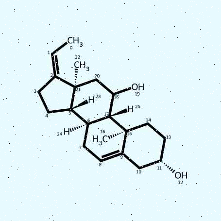 C/C=C1/CC[C@H]2[C@@H]3CC=C4C[C@@H](O)CC[C@]4(C)[C@H]3C(O)C[C@]12C